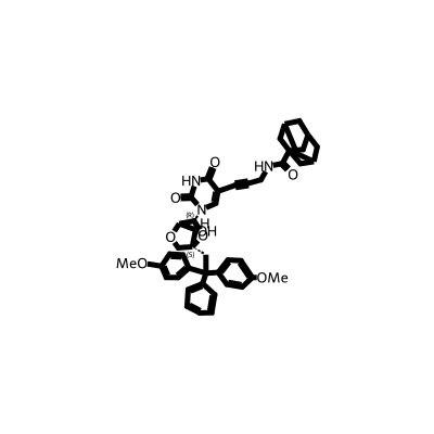 COc1ccc(C(C[C@@]23COC([C@H](n4cc(C#CCNC(=O)C56CC7CC(CC(C7)C5)C6)c(=O)[nH]c4=O)O2)[C@H]3O)(c2ccccc2)c2ccc(OC)cc2)cc1